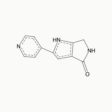 O=C1NCc2[nH]c(-c3ccncc3)cc21